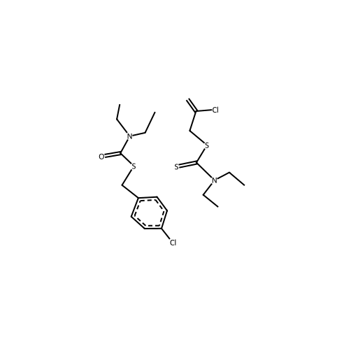 C=C(Cl)CSC(=S)N(CC)CC.CCN(CC)C(=O)SCc1ccc(Cl)cc1